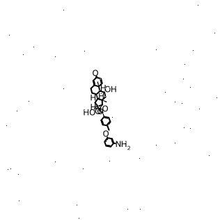 C[C@]12C=CC(=O)C=C1CC[C@@H]1[C@@H]2[C@@H](O)C[C@@]2(C)[C@H]1C[C@H]1O[C@H](c3ccc(COc4cccc(N)c4)cc3)O[C@]12C(=O)CO